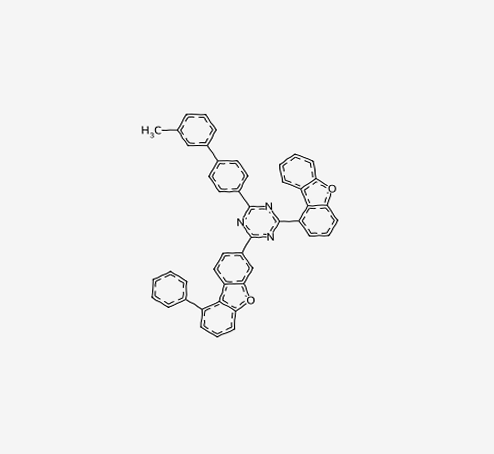 Cc1cccc(-c2ccc(-c3nc(-c4ccc5c(c4)oc4cccc(-c6ccccc6)c45)nc(-c4cccc5oc6ccccc6c45)n3)cc2)c1